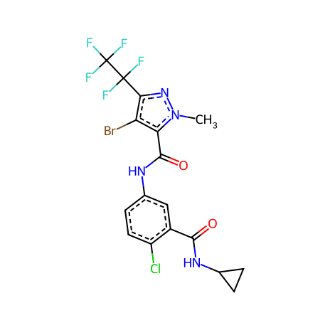 Cn1nc(C(F)(F)C(F)(F)F)c(Br)c1C(=O)Nc1ccc(Cl)c(C(=O)NC2CC2)c1